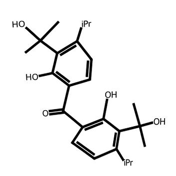 CC(C)c1ccc(C(=O)c2ccc(C(C)C)c(C(C)(C)O)c2O)c(O)c1C(C)(C)O